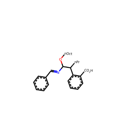 CCCCCCCCOC(/N=C/c1ccccc1)C(CCC)c1ccccc1C(=O)O